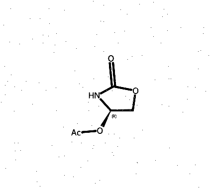 CC(=O)O[C@@H]1COC(=O)N1